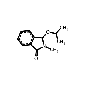 CC(C)OC1c2ccccc2C(=O)N1C